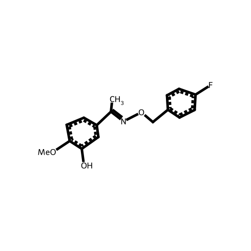 COc1ccc(/C(C)=N/OCc2ccc(F)cc2)cc1O